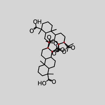 CC(C)C1C2CC3C4(C)CCCC(C)(C(=O)O)C4CCC3(C1OC1C(C(C)C)C3CC4C5(C)CCCC(C)(C(=O)O)C5CCC14C1C(=O)OC(=O)C31)C1C(=O)OC(=O)C21